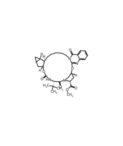 COC(=O)[C@@H]1C[C@@H]2CN1C(=O)[C@H](C(C)(C)C)NC(=O)O[C@@H]1CC3C[C@@H]3[C@H]1CCCCCn1c(nc3ccccc3c1=O)O2